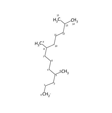 [CH2]CCC(C)CCCC(C)CCCC(C)C